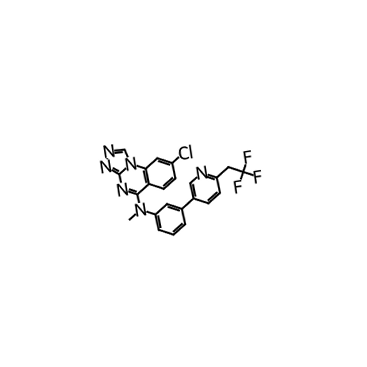 CN(c1cccc(-c2ccc(CC(F)(F)F)nc2)c1)c1nc2nncn2c2cc(Cl)ccc12